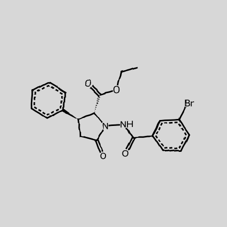 CCOC(=O)[C@H]1[C@H](c2ccccc2)CC(=O)N1NC(=O)c1cccc(Br)c1